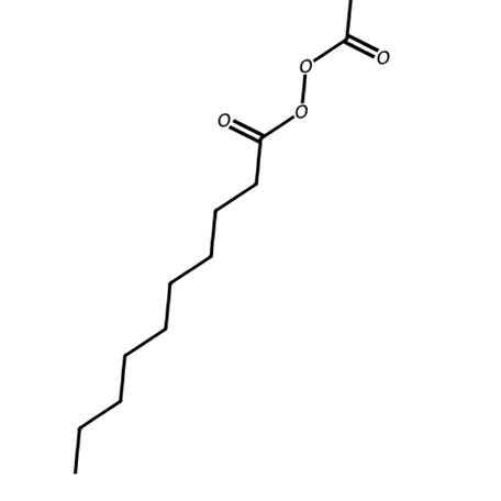 C=CC(=O)OOC(=O)CCCCCCCCC